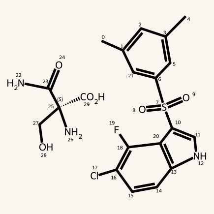 Cc1cc(C)cc(S(=O)(=O)c2c[nH]c3ccc(Cl)c(F)c23)c1.NC(=O)[C@@](N)(CO)C(=O)O